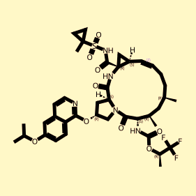 CC(C)Oc1ccc2c(O[C@@H]3C[C@H]4C(=O)N[C@]5(C(=O)NS(=O)(=O)C6(C)CC6)C[C@H]5/C=C\CC[C@@H](C)C[C@@H](C)[C@H](NC(=O)O[C@H](C)C(F)(F)F)C(=O)N4C3)nccc2c1